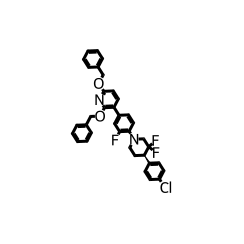 Fc1cc(-c2ccc(OCc3ccccc3)nc2OCc2ccccc2)ccc1N1CC[C@H](c2ccc(Cl)cc2)C(F)(F)C1